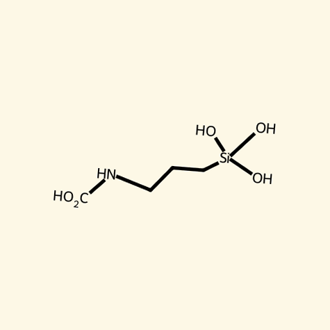 O=C(O)NCCC[Si](O)(O)O